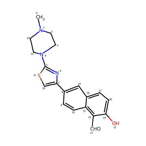 CN1CCN(c2nc(-c3ccc4c(C=O)c(O)ccc4c3)cs2)CC1